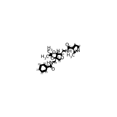 Cn1nccc1C(=O)NC[C@H]1OC[C@]2(CNC(=O)c3ccccc3)OC(C)(C)O[C@H]12